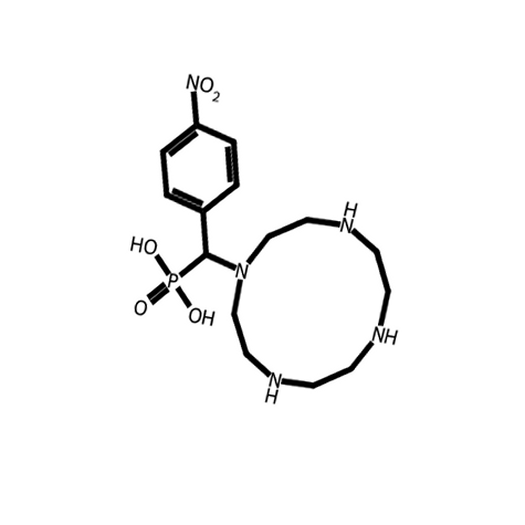 O=[N+]([O-])c1ccc(C(N2CCNCCNCCNCC2)P(=O)(O)O)cc1